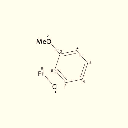 CCCl.COc1ccccc1